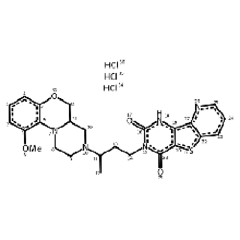 COc1cccc2c1N1CCN(C(C)CCn3c(=O)[nH]c4c(sc5cccnc54)c3=O)CC1CO2.Cl.Cl.Cl